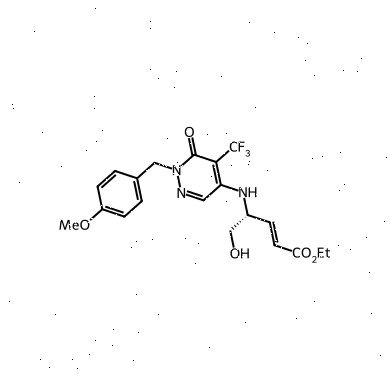 CCOC(=O)/C=C/[C@H](CO)Nc1cnn(Cc2ccc(OC)cc2)c(=O)c1C(F)(F)F